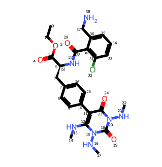 CCOC(=O)[C@H](Cc1ccc(-c2c(NC)n(NC)c(=O)n(NC)c2=O)cc1)NC(=O)c1c(Cl)cccc1CN